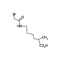 CC(CCCCNC(=O)CBr)C(=O)O